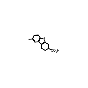 Cc1ccc2sc3c(c2c1)CCC(C(=O)O)C3